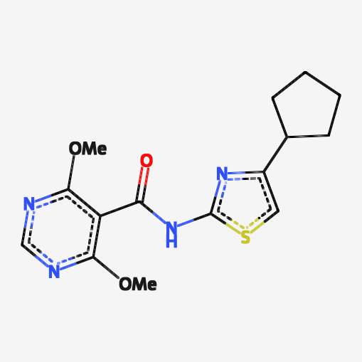 COc1ncnc(OC)c1C(=O)Nc1nc(C2CCCC2)cs1